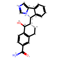 NC(=O)c1ccc2c(c1)CC[C@@H]([C@H]1c3ccccc3-c3cncn31)C2O